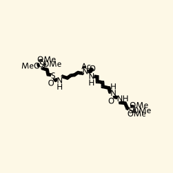 CO[Si](CCCNC(=O)NCCCCCCNC(=O)N(CCCCCCNC(=O)SCCC[Si](OC)(OC)OC)C(C)=O)(OC)OC